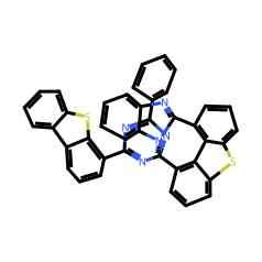 c1ccc(-c2nc(-c3cccc4c3sc3ccccc34)nc(-c3cccc4sc5cccc(-c6nc7ccccc7[nH]6)c5c34)n2)cc1